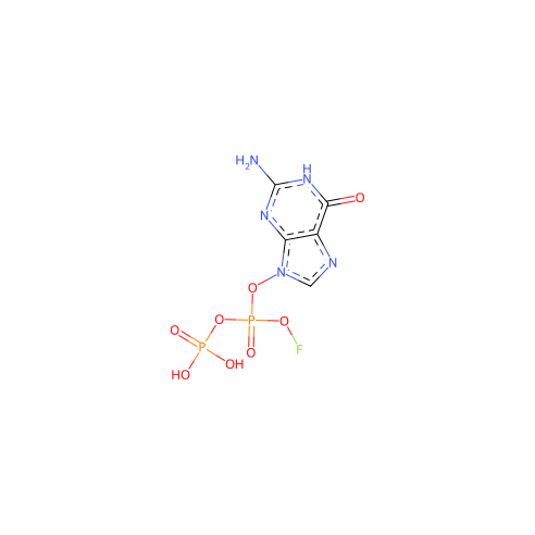 Nc1nc2c(ncn2OP(=O)(OF)OP(=O)(O)O)c(=O)[nH]1